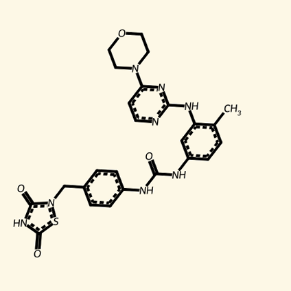 Cc1ccc(NC(=O)Nc2ccc(Cn3sc(=O)[nH]c3=O)cc2)cc1Nc1nccc(N2CCOCC2)n1